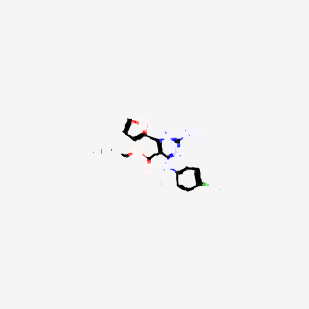 CCOC(=O)c1c(-c2ccco2)nc(N)nc1N(C)c1ccc(Cl)cc1